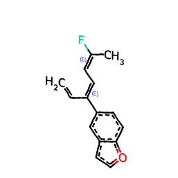 C=C/C(=C\C=C(/C)F)c1ccc2occc2c1